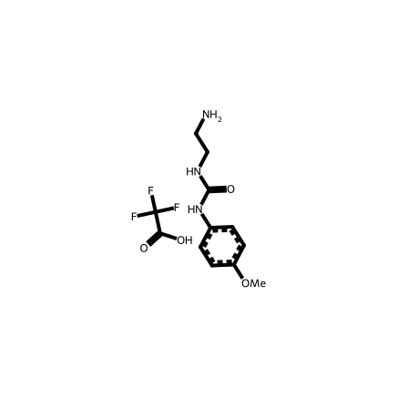 COc1ccc(NC(=O)NCCN)cc1.O=C(O)C(F)(F)F